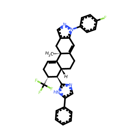 C[C@]12Cc3cnn(-c4ccc(F)cc4)c3C=C1CC[C@H]1C2=CC[C@@H](C(F)(F)F)[C@@H]1c1ncc(-c2ccccc2)[nH]1